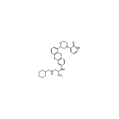 CC(CNCC1CCCCC1)Nc1ccc2c(c1)Sc1cccc(C3CN(c4ccc[nH]c4=O)CCO3)c1S2